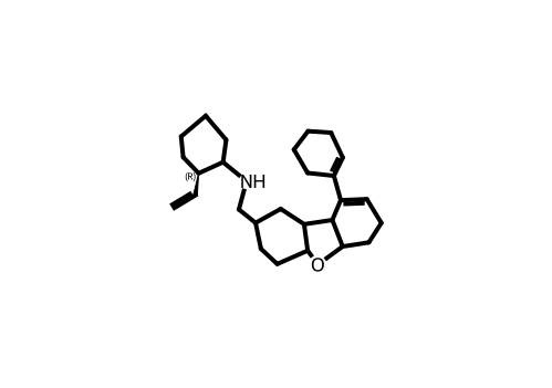 C=C[C@H]1CCCCC1NCC1CCC2OC3CCC=C(C4=CCCCC4)C3C2C1